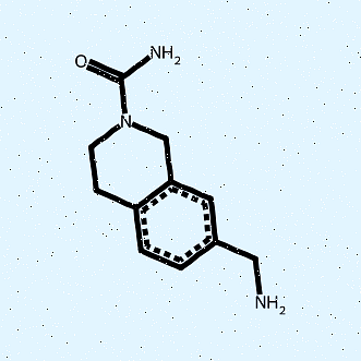 NCc1ccc2c(c1)CN(C(N)=O)CC2